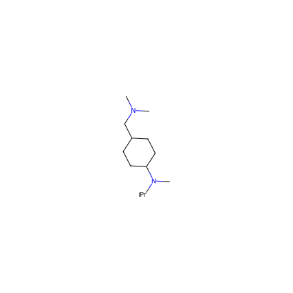 CC(C)N(C)C1CCC(CN(C)C)CC1